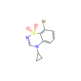 O=S1(=O)N=CN(C2CC2)c2cccc(Br)c21